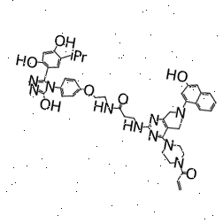 C=CC(=O)N1CCN(c2nc(NCCC(=O)NCCOc3ccc(-n4c(O)nnc4-c4cc(C(C)C)c(O)cc4O)cc3)nc3c2CCN(c2cc(O)cc4ccccc24)C3)CC1